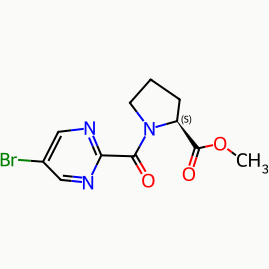 COC(=O)[C@@H]1CCCN1C(=O)c1ncc(Br)cn1